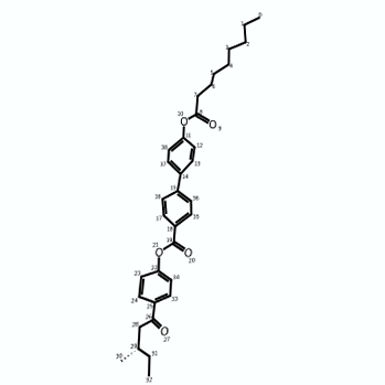 CCCCCCCCC(=O)Oc1ccc(-c2ccc(C(=O)Oc3ccc(C(=O)C[C@@H](C)CC)cc3)cc2)cc1